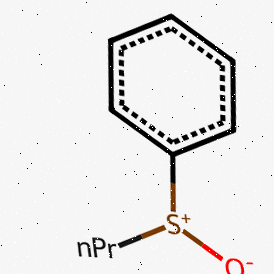 CCC[S+]([O-])c1ccccc1